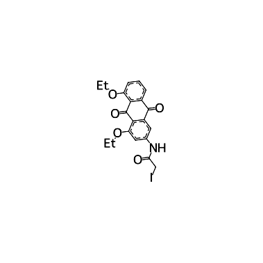 CCOc1cccc2c1C(=O)c1c(OCC)cc(NC(=O)CI)cc1C2=O